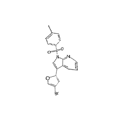 Cc1ccc(S(=O)(=O)n2cc(-c3cc(Br)co3)c3cccnc32)cc1